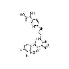 N=C(NO)c1ccc(NCCNc2nonc2/C(=N/O)Nc2ccc(F)c(Br)c2)nc1